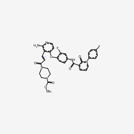 CC(C)(C)OC(=O)N1CCN(C(=O)/C=C/c2c(Oc3ccc(NC(=O)c4cccn(-c5ccc(F)cc5)c4=O)cc3F)ccnc2N)CC1